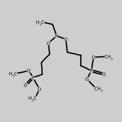 CCN(OCCCP(=O)(OC)OC)OCCCP(=O)(OC)OC